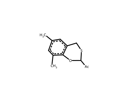 CC(=O)C1Oc2c(C)cc(C)cc2CS1